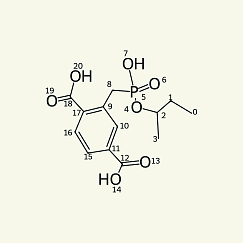 CCC(C)OP(=O)(O)Cc1cc(C(=O)O)ccc1C(=O)O